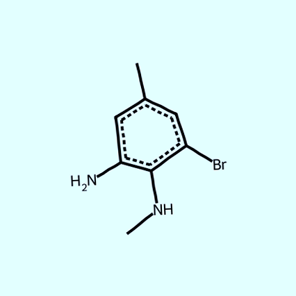 CNc1c(N)cc(C)cc1Br